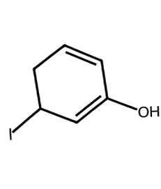 OC1=CC(I)CC=C1